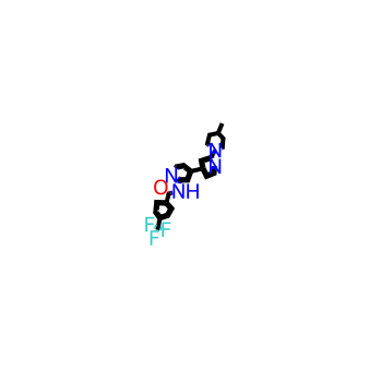 CC1CCN(c2cc(-c3ccnc(NC(=O)c4ccc(C(F)(F)F)cc4)c3)ccn2)CC1